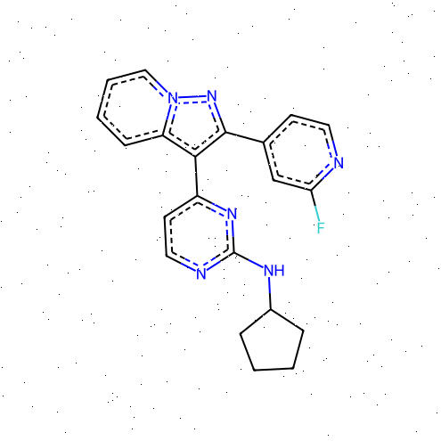 Fc1cc(-c2nn3ccccc3c2-c2ccnc(NC3CCCC3)n2)ccn1